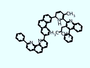 C=C(C)Cc1c(C2=C(C)C=CC(c3ccc4ccc5cc(-c6ccc7ccc8ccc(-c9ccccc9)nc8c7n6)ccc5c4c3)N2)nc2ccccc2c1-c1ccccc1